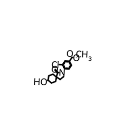 COC(=O)c1ccc(N2CCC3(CCC(O)CC3)C2=O)c(Cl)c1